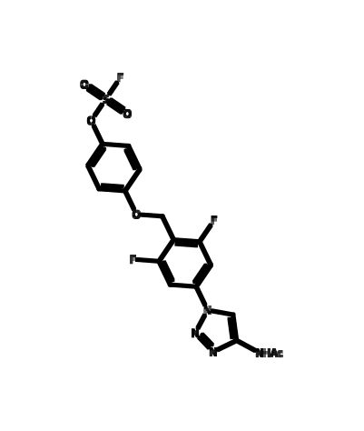 CC(=O)Nc1cn(-c2cc(F)c(COc3ccc(OS(=O)(=O)F)cc3)c(F)c2)nn1